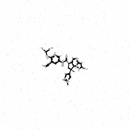 Cn1cc([C@]2(C)C[C@@H](C(=O)Nc3cnc(OC(F)F)c(C#N)c3)c3cnc4cc(F)nn4c32)cn1